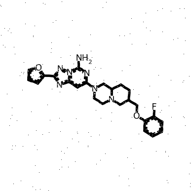 Nc1nc(N2CCN3CC(COc4ccccc4F)CCC3C2)cc2nc(-c3ccco3)nn12